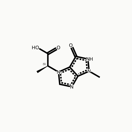 C[C@@H](C(=O)O)n1cnc2c1c(=O)[nH]n2C